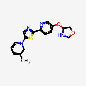 CC1=CC=CN(c2cnc(-c3ccc(OC4COCN4)cn3)s2)C1